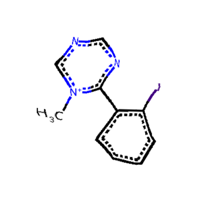 C[n+]1cncnc1-c1ccccc1I